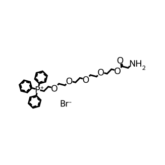 NCC(=O)OCCOCCOCCOCCOCC[P+](c1ccccc1)(c1ccccc1)c1ccccc1.[Br-]